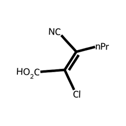 CCC/C(C#N)=C(\Cl)C(=O)O